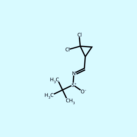 CC(C)(C)[S+]([O-])N=CC1CC1(Cl)Cl